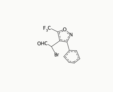 O=CC(Br)c1c(-c2ccccc2)noc1C(F)(F)F